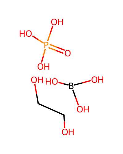 O=P(O)(O)O.OB(O)O.OCCO